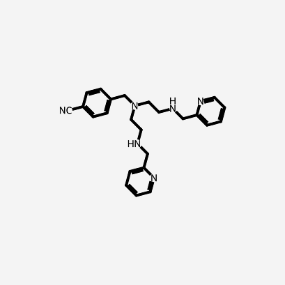 N#Cc1ccc(CN(CCNCc2ccccn2)CCNCc2ccccn2)cc1